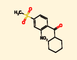 CS(=O)(=O)c1ccc(C(=O)C2CCCCC2)c([N+](=O)[O-])c1